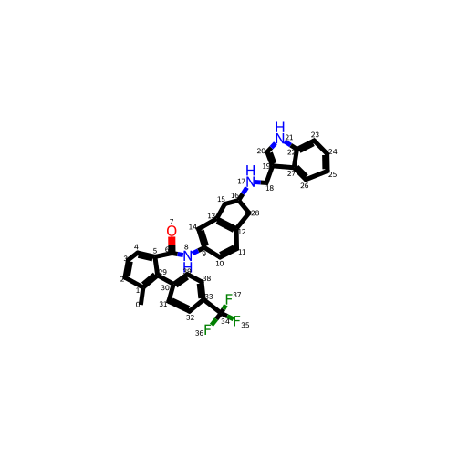 Cc1cccc(C(=O)Nc2ccc3c(c2)CC(NCc2c[nH]c4ccccc24)C3)c1-c1ccc(C(F)(F)F)cc1